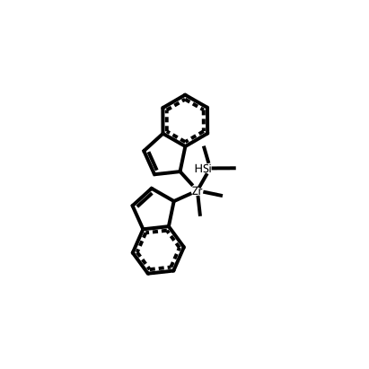 C[SiH](C)[Zr]([CH3])([CH3])([CH]1C=Cc2ccccc21)[CH]1C=Cc2ccccc21